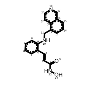 O=C(C=Cc1ccccc1NCc1cccc2cnccc12)NO